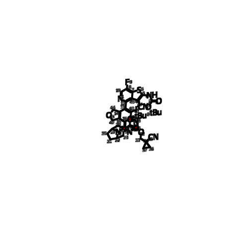 CC(C)(C)OC(=O)Nc1sc2c(F)cnc(-c3c4c(c5c(N6C7CCC6CN(C(=O)OC(C)(C)C)C7)nc(OCC6(C#N)CC6)nc5c3F)COC4)c2c1C#N